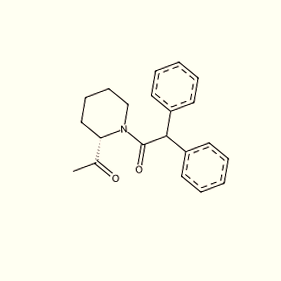 CC(=O)[C@@H]1CCCCN1C(=O)C(c1ccccc1)c1ccccc1